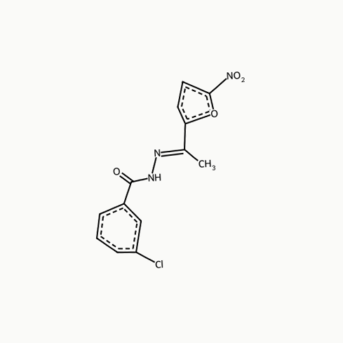 C/C(=N\NC(=O)c1cccc(Cl)c1)c1ccc([N+](=O)[O-])o1